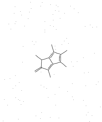 C=C1C(C)=C2C(C)=C(C)C(C)=C2C1C